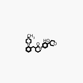 CN1CCN(c2ccccc2CC2CCCN(c3ccc(C4(O)CCOCC4)cc3)C2=O)CC1